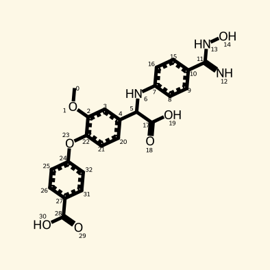 COc1cc(C(Nc2ccc(C(=N)NO)cc2)C(=O)O)ccc1Oc1ccc(C(=O)O)cc1